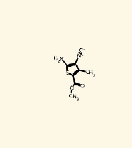 [C-]#[N+]c1c(N)sc(C(=O)OC)c1C